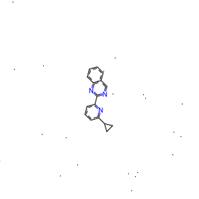 c1cc(-c2ncc3ccccc3n2)nc(C2CC2)c1